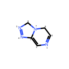 C1=NC=C2N=NCN2C1